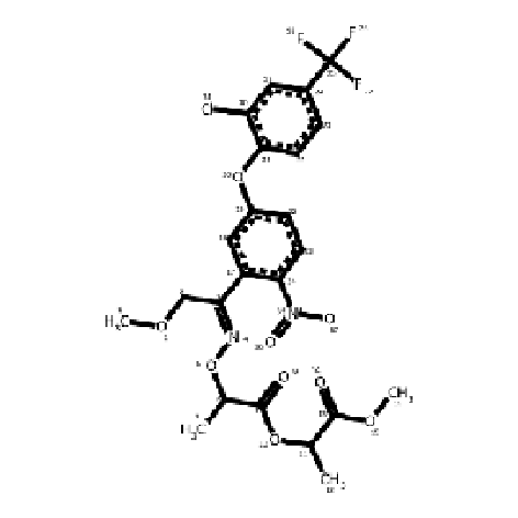 COCC(=NOC(C)C(=O)OC(C)C(=O)OC)c1cc(Oc2ccc(C(F)(F)F)cc2Cl)ccc1[N+](=O)[O-]